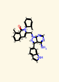 Cc1ccccc1-n1c(CN2N=C(c3ccc4cc[nH]c4c3)C3C(N)=NC=NC32)cc2cccc(C)c2c1=O